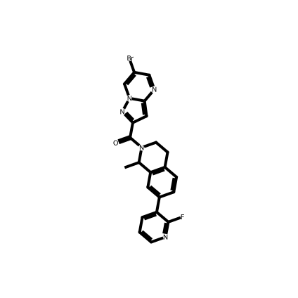 CC1c2cc(-c3cccnc3F)ccc2CCN1C(=O)c1cc2ncc(Br)cn2n1